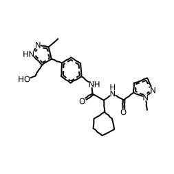 Cc1n[nH]c(CO)c1-c1ccc(NC(=O)C(NC(=O)c2ccnn2C)C2CCCCC2)cc1